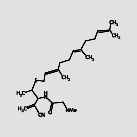 C=C(C#N)C(NC(=O)CNC)C(C)SC/C=C(\C)CC/C=C(\C)CCC=C(C)C